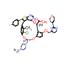 Cc1c2ccc(c1Cl)O[C@H](CN1CCN(C)CC1)COc1ccc(OCc3ccnc(C4=CCOCC4)n3)c(c1)C[C@H](C(=O)O)Oc1ncnc3sc(-c4ccc(F)cc4)c-2c13